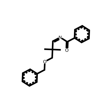 CC(C)(/C=N\C(=O)c1ccccc1)COCc1ccccc1